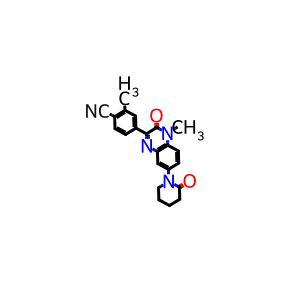 Cc1cc(-c2nc3cc(N4CCCCC4=O)ccc3n(C)c2=O)ccc1C#N